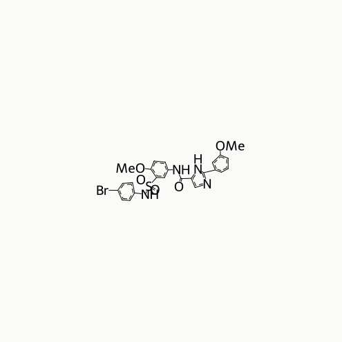 COc1cccc(-c2ncc(C(=O)Nc3ccc(OC)c(S(=O)(=O)Nc4ccc(Br)cc4)c3)[nH]2)c1